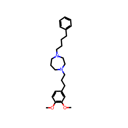 COc1ccc(CCCN2CCCN(CCCCc3ccccc3)CC2)cc1OC